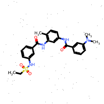 CCS(=O)(=O)Nc1cccc(C(=O)Nc2cc(NC(=O)c3cccc(N(C)C)c3)ccc2C)c1